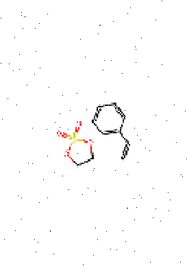 C=Cc1ccccc1.O=S1(=O)OCCO1